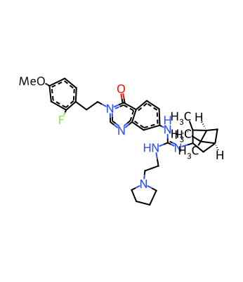 COc1ccc(CCn2cnc3cc(N/C(=N\C4C[C@@H]5C[C@H]([C@@H]4C)C5(C)C)NCCN4CCCC4)ccc3c2=O)c(F)c1